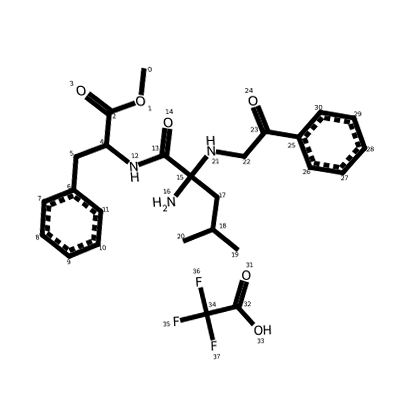 COC(=O)C(Cc1ccccc1)NC(=O)C(N)(CC(C)C)NCC(=O)c1ccccc1.O=C(O)C(F)(F)F